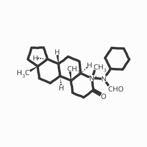 C[C@@]12CCC[C@H]1[C@@H]1CC[C@@H]3[C@](C)(CCC(=O)[N+]3(C)N(C=O)C3CCCCC3)[C@H]1CC2